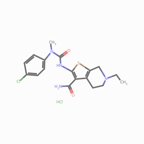 CCN1CCc2c(sc(NC(=O)N(C)c3ccc(Cl)cc3)c2C(N)=O)C1.Cl